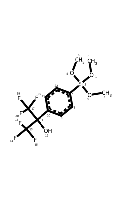 CO[Si](OC)(OC)c1ccc(C(O)(C(F)(F)F)C(F)(F)F)cc1